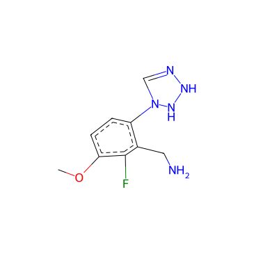 COc1ccc(N2C=NNN2)c(CN)c1F